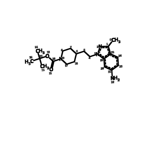 Cc1nn(CCC2CCN(C(=O)OC(C)(C)C)CC2)c2cc(N)ccc12